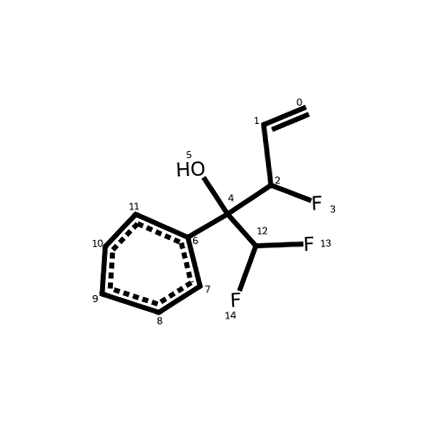 C=CC(F)C(O)(c1ccccc1)C(F)F